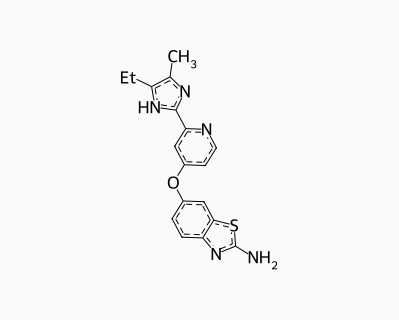 CCc1[nH]c(-c2cc(Oc3ccc4nc(N)sc4c3)ccn2)nc1C